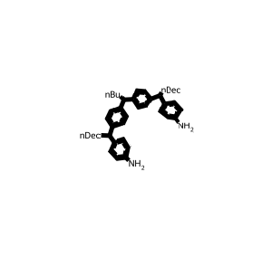 CCCCCCCCCCC(c1ccc(N)cc1)c1ccc(C(CCCC)c2ccc(C(CCCCCCCCCC)c3ccc(N)cc3)cc2)cc1